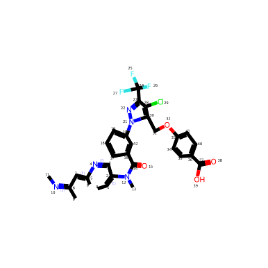 C\C=C(/C=N\C(C)=C\C(C)=N/C)N(C)C(=O)c1cccc(-n2nc(C(F)(F)F)c(Cl)c2COc2ccc(C(=O)O)cc2)c1